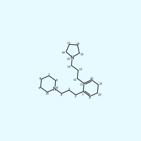 C1=C(CCCN2CCCCC2)C(CCCN2CCCC2)=CCC1